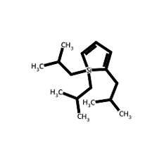 CC(C)CC1=CC=C[Si]1(CC(C)C)CC(C)C